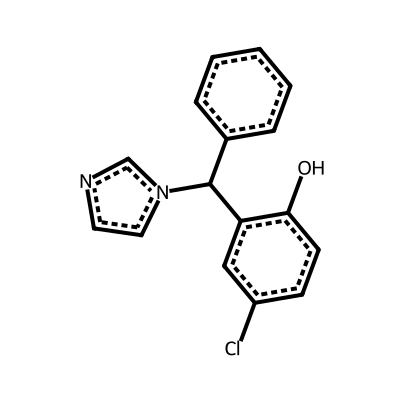 Oc1ccc(Cl)cc1C(c1ccccc1)n1ccnc1